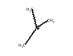 CCCCCCCCCCCCCCCCCn1cc[n+](CCCCCCCCCC)c1CCCCCCCCCCCCCCC